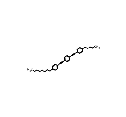 CCCCCCCCc1ccc(C#Cc2ccc(C#Cc3ccc(CCCCC)cc3)cc2)cc1